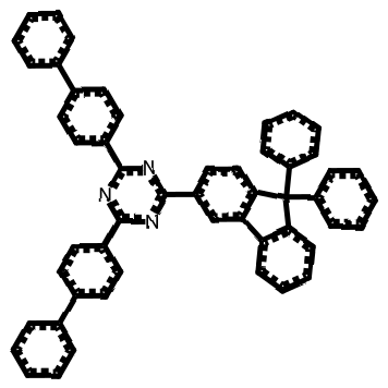 c1ccc(-c2ccc(-c3nc(-c4ccc(-c5ccccc5)cc4)nc(-c4ccc5c(c4)-c4ccccc4C5(c4ccccc4)c4ccccc4)n3)cc2)cc1